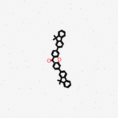 CC1(C)c2ccccc2-c2ccc(-c3ccc4c(=O)c5ccc(-c6ccc7c(c6)C(C)(C)c6ccccc6-7)cc5oc4c3)cc21